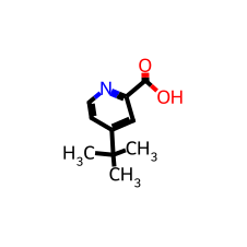 CC(C)(C)c1ccnc(C(=O)O)c1